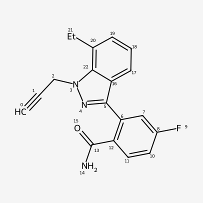 C#CCn1nc(-c2cc(F)ccc2C(N)=O)c2cccc(CC)c21